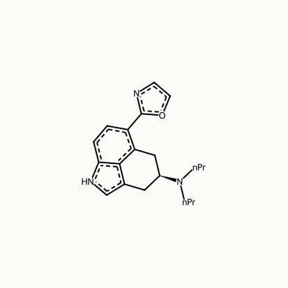 CCCN(CCC)[C@H]1Cc2c[nH]c3ccc(-c4ncco4)c(c23)C1